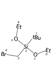 CCO[Si](CBr)(OCC)C(C)(C)C